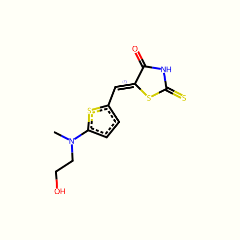 CN(CCO)c1ccc(/C=C2\SC(=S)NC2=O)s1